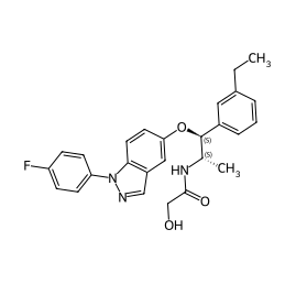 CCc1cccc([C@H](Oc2ccc3c(cnn3-c3ccc(F)cc3)c2)[C@H](C)NC(=O)CO)c1